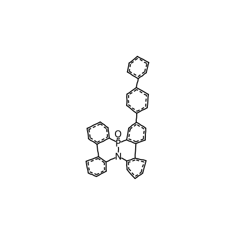 O=P12c3ccccc3-c3ccccc3N1c1ccccc1-c1ccc(-c3ccc(-c4ccccc4)cc3)cc12